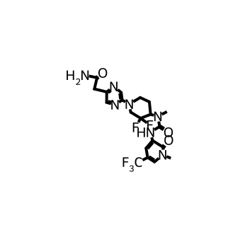 CN(C(=O)Nc1cc(C(F)(F)F)cn(C)c1=O)C1CCN(c2cnc(CC(N)=O)cn2)CC1(F)F